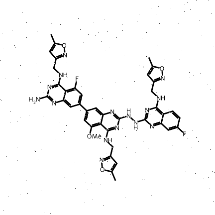 COc1cc(-c2cc(F)c3c(NCc4cc(C)on4)nc(N)nc3c2)cc2nc(NNc3nc(NCc4cc(C)on4)c4ccc(F)cc4n3)nc(NCc3cc(C)on3)c12